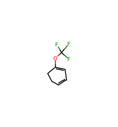 FC(F)(F)OC1=CC=CCC1